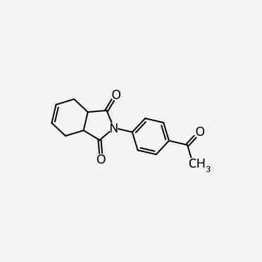 CC(=O)c1ccc(N2C(=O)C3CC=CCC3C2=O)cc1